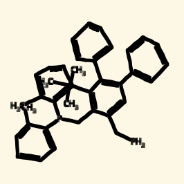 Cc1ccccc1P(Cc1c(CP)cc(-c2ccccc2)c(-c2ccccc2)c1C(C)(C)C)c1ccccc1C